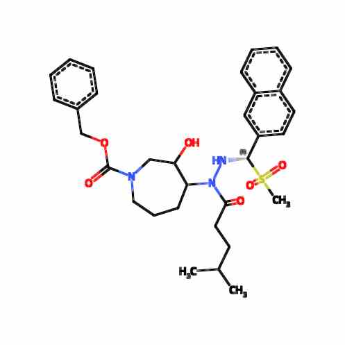 CC(C)CCC(=O)N(N[C@H](c1ccc2ccccc2c1)S(C)(=O)=O)C1CCCN(C(=O)OCc2ccccc2)CC1O